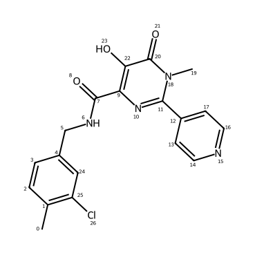 Cc1ccc(CNC(=O)c2nc(-c3ccncc3)n(C)c(=O)c2O)cc1Cl